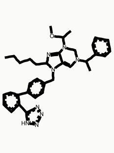 CCCCCC1N=C2C(=CN(C(C)c3ccccc3)CN2C(C)OC)N1Cc1ccc(-c2ccccc2-c2nnn[nH]2)cc1